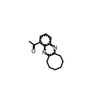 CC(=O)c1cccc2nc3c(nc12)CCCCCC3